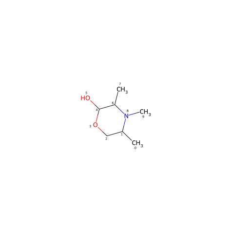 CC1COC(O)C(C)N1C